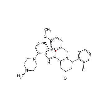 COc1ccc(CN2C(c3nc4cccc(N5CCN(C)CC5)c4[nH]3)CC(=O)CC2c2ncccc2Cl)cc1